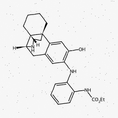 CCOC(=O)Nc1ccccc1Nc1cc2c(cc1O)[C@@]13CCCC[C@H]1[C@@H](C2)NCC3